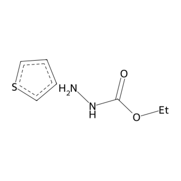 CCOC(=O)NN.c1ccsc1